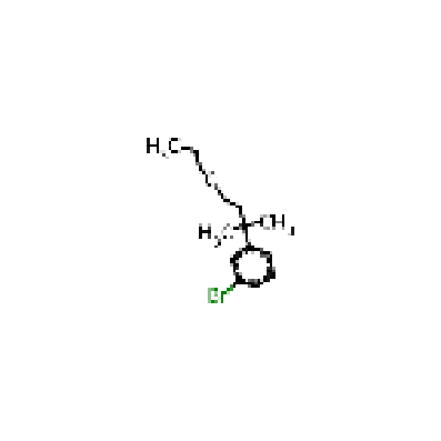 CCCCCCC(C)(C)c1cccc(Br)c1